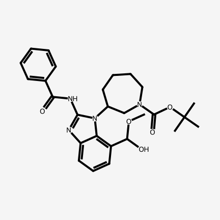 COC(O)c1cccc2nc(NC(=O)c3ccccc3)n(C3CCCCN(C(=O)OC(C)(C)C)C3)c12